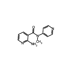 CN(C(=O)c1cccnc1N)c1ccncc1